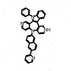 C1=CC2=C(CN1)c1c(n(-c3ccccc3)c3ccccc13)-c1cnccc1N2c1ccc2cc(-c3ccccn3)ccc2c1